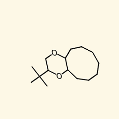 CC(C)(C)C1COC2CCCCCCCC2O1